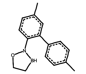 Cc1ccc(-c2cc(C)ccc2N2BCCO2)cc1